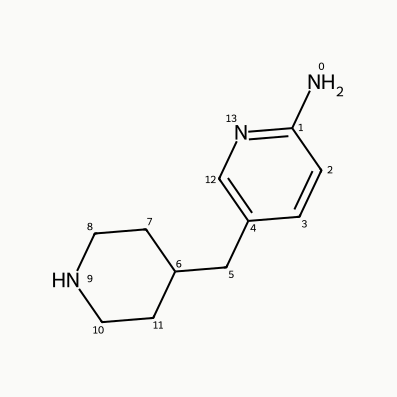 Nc1ccc(CC2CCNCC2)cn1